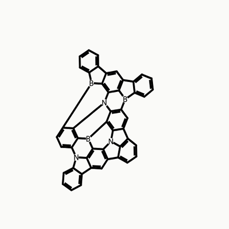 c1ccc2c(c1)B1c3ccc4c5c3N3c6c1c-2cc1c6B(c2ccccc2-1)c1cc2c6cccc7c8cc9c%10ccccc%10n-4c9c4c8n(c2c(c13)B54)c67